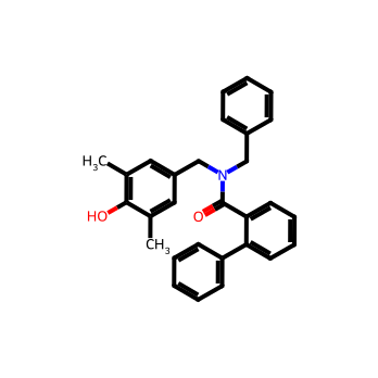 Cc1cc(CN(Cc2ccccc2)C(=O)c2ccccc2-c2ccccc2)cc(C)c1O